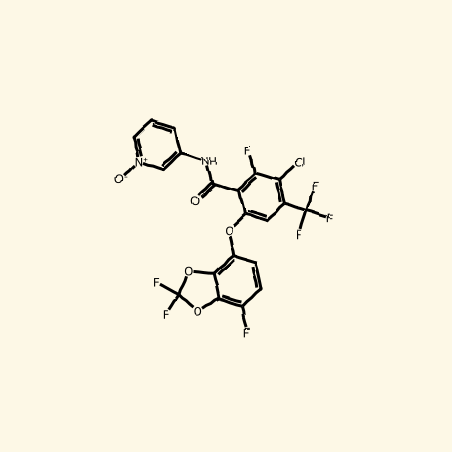 O=C(Nc1ccc[n+]([O-])c1)c1c(Oc2ccc(F)c3c2OC(F)(F)O3)cc(C(F)(F)F)c(Cl)c1F